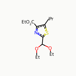 CCOC(=O)c1nc(C(OCC)OCC)sc1C(C)C